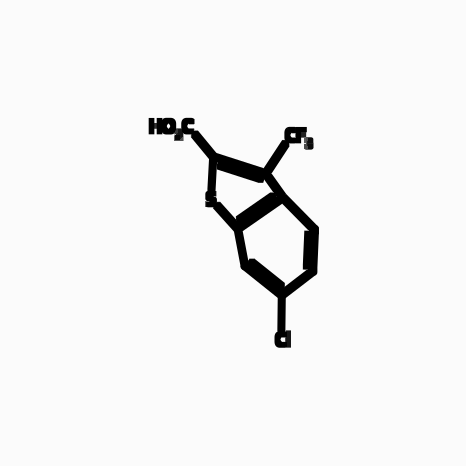 O=C(O)c1sc2cc(Cl)ccc2c1C(F)(F)F